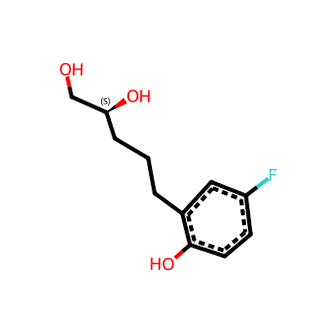 OC[C@@H](O)CCCc1cc(F)ccc1O